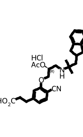 CC(=O)O[C@H](CNC(C)(C)CC1Cc2ccccc2C1)COc1cc(CCC(=O)O)ccc1C#N.Cl